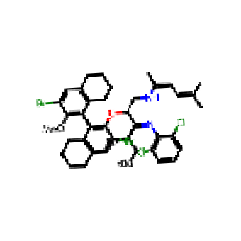 CCC(CC(C)(C)C)/C(=N\c1c(Cl)cccc1Cl)[C@H](CN/C(C)=C\C=C(C)C)Oc1c(Br)cc2c(c1-c1c3c(cc(Br)c1OC)CCCC3)CCCC2